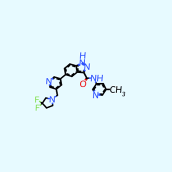 Cc1cncc(NC(=O)c2n[nH]c3ccc(-c4cncc(CN5CCC(F)(F)C5)c4)cc23)c1